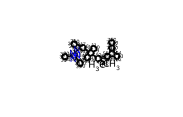 C[Si]1(C)c2ccc(-c3c4ccccc4c(-c4ccc5c6ccccc6n(-c6nc(-c7ccccc7)nc(-c7ccccc7)n6)c5c4)c4ccccc34)cc2-c2cc3c(cc21)c1ccccc1c1cc2ccccc2cc31